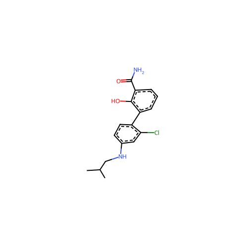 CC(C)CNc1ccc(-c2cccc(C(N)=O)c2O)c(Cl)c1